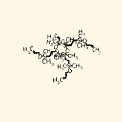 C=CCO[Si](C)(C)CC[Si]1(C)O[Si](C)(C=C)O[Si](C)(CC[Si](C)(C)OCC=C)O[Si](C)(CC[Si](C)(C)OCC=C)O1